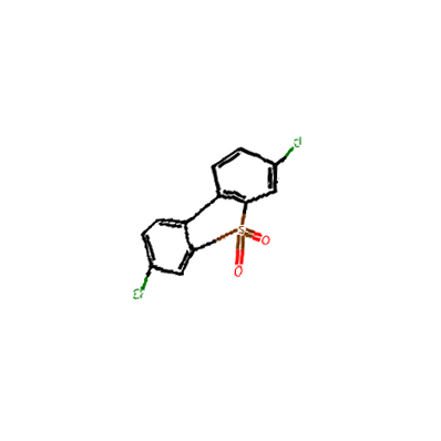 O=S1(=O)c2cc(Cl)ccc2-c2ccc(Cl)cc21